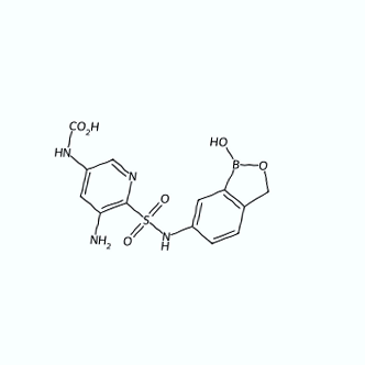 Nc1cc(NC(=O)O)cnc1S(=O)(=O)Nc1ccc2c(c1)B(O)OC2